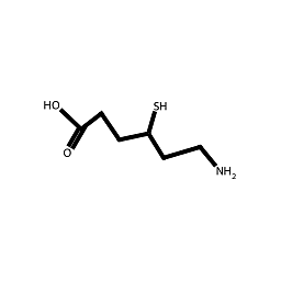 NCCC(S)CCC(=O)O